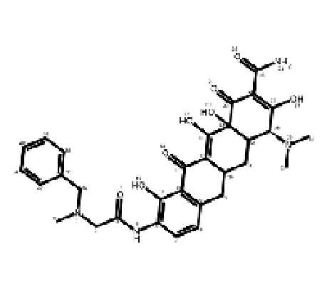 CN(CC(=O)Nc1ccc2c(c1O)C(=O)C1=C(O)C3(O)C(=O)C(C(N)=O)=C(O)[C@@H](N(C)C)C3CC1C2)Cc1ccccc1